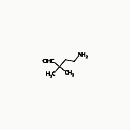 CC(C)([C]=O)CCN